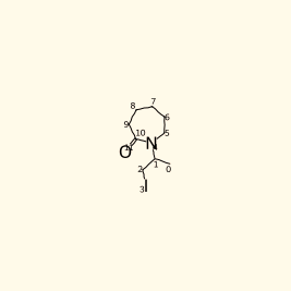 CC(CI)N1CCCCCC1=O